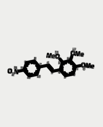 COc1ccc(C=Cc2ccc([N+](=O)[O-])cc2)c(OC)c1OC